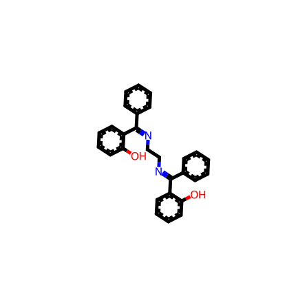 Oc1ccccc1C(=NCCN=C(c1ccccc1)c1ccccc1O)c1ccccc1